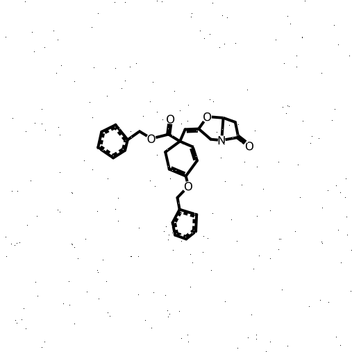 O=C1CC2O/C(=C/C3(C(=O)OCc4ccccc4)C=CC(OCc4ccccc4)=CC3)CN12